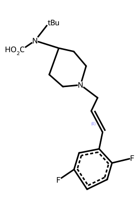 CC(C)(C)N(C(=O)O)C1CCN(C/C=C/c2cc(F)ccc2F)CC1